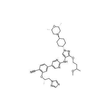 COC(C)CCOc1nn([C@H]2CC[C@H](N3C[C@@H](C)O[C@@H](C)C3)CC2)cc1Nc1ncc(-c2ccc(C#N)c(O[C@@H](C)Cn3cncn3)c2)cn1